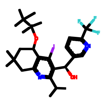 CC(C)c1nc2c(c(I)c1[C@H](O)c1ccc(C(F)(F)F)nc1)C(O[Si](C)(C)C(C)(C)C)CC(C)(C)C2